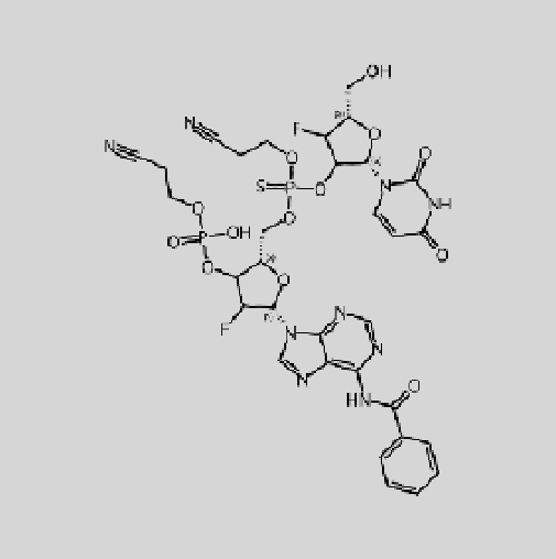 N#CCCOP(=O)(O)OC1C(F)[C@@H](n2cnc3c(NC(=O)c4ccccc4)ncnc32)O[C@H]1COP(=S)(OCCC#N)OC1C(F)[C@H](CO)O[C@@H]1n1ccc(=O)[nH]c1=O